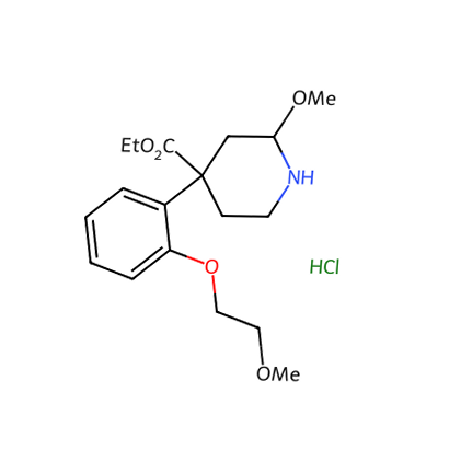 CCOC(=O)C1(c2ccccc2OCCOC)CCNC(OC)C1.Cl